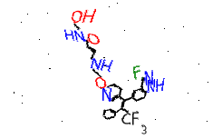 O=C(/C=C/CNCCOc1ccc(/C(=C(/CC(F)(F)F)c2ccccc2)c2ccc3[nH]nc(F)c3c2)cn1)NCCO